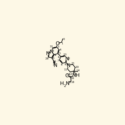 CCOc1cc(-c2ccc(N3CCC(C)(NC(=O)CN)CC3)nc2)c2c(C#N)cnn2c1